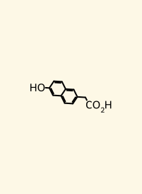 O=C(O)Cc1ccc2cc(O)ccc2c1